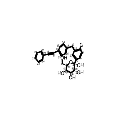 OC[C@H]1O[C@@](O)(c2ccc(Cl)c(Cc3ccc(C#Cc4ccccc4)cc3)c2)[C@H](O)[C@@H](O)[C@@H]1O